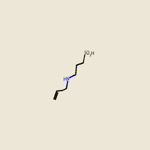 C=CCNCCCS(=O)(=O)O